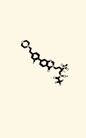 C[C@@](CCn1cnc2cc(-c3ccc(CCN4CCOCC4)cc3F)ccc2c1=O)(CN(O)C(=O)C(F)(F)F)S(C)(=O)=O